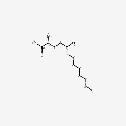 N[C@@H](CCC(O)OCCCCCCCl)C(=O)O